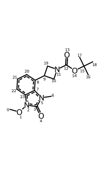 COn1c(=O)n(C)c2c(C3CN(C(=O)OC(C)(C)C)C3)cccc21